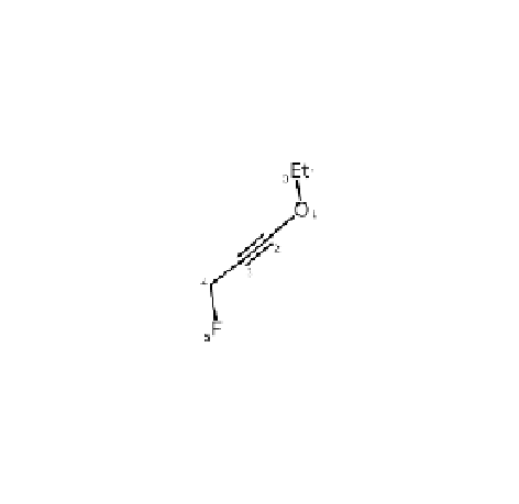 C[CH]OC#CCF